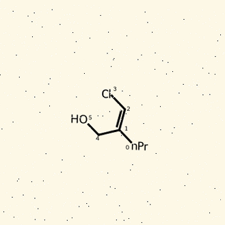 [CH2]CCC(=CCl)CO